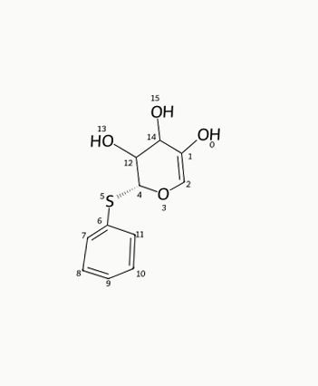 OC1=CO[C@H](Sc2ccccc2)C(O)C1O